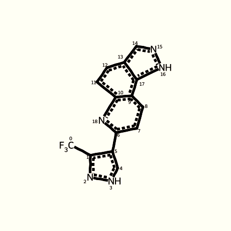 FC(F)(F)c1n[nH]cc1-c1ccc2c(ccc3cn[nH]c32)n1